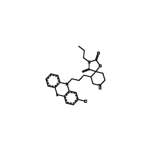 C=C1N(CCC)C(=O)OC12CCNCC2CCCN1c2ccccc2Sc2ccc(Cl)cc21